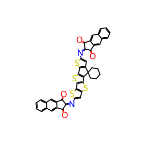 O=c1c(=Nc2cc3c(s2)-c2sc4c(sc5cc(N=c6c(=O)c7cc8ccccc8cc7c6=O)sc54)c2C32CCCCC2)c(=O)c2cc3ccccc3cc12